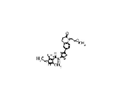 CCn1nc(C)c(C(=O)Nc2nc(-c3ccc4c(c3)CCC(=O)N4CCOC)cs2)c1C